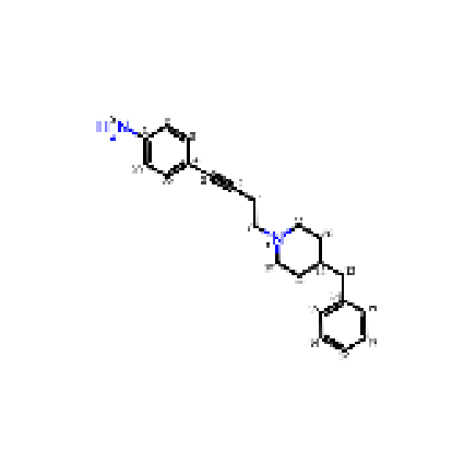 Nc1ccc(C#CCCN2CCC(Cc3ccccc3)CC2)cc1